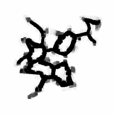 CCC(C)c1ccc(-c2c(OC)cc(C)c3[nH]c(=O)c4ccncc4c23)cc1